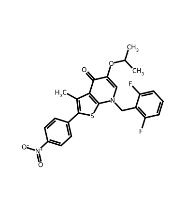 Cc1c(-c2ccc([N+](=O)[O-])cc2)sc2c1c(=O)c(OC(C)C)cn2Cc1c(F)cccc1F